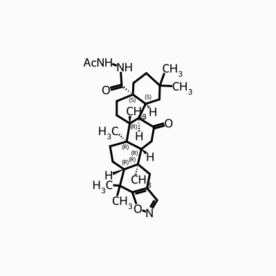 CC(=O)NNC(=O)[C@]12CCC(C)(C)C[C@H]1[C@H]1C(=O)C[C@@H]3[C@@]4(C)Cc5cnoc5C(C)(C)[C@@H]4CC[C@@]3(C)[C@]1(C)CC2